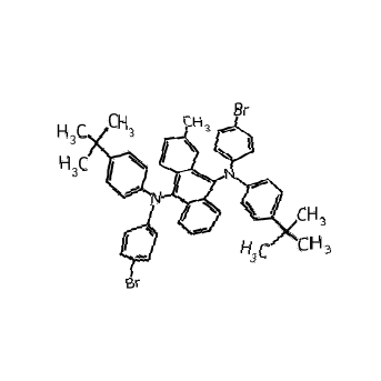 Cc1ccc2c(N(c3ccc(Br)cc3)c3ccc(C(C)(C)C)cc3)c3ccccc3c(N(c3ccc(Br)cc3)c3ccc(C(C)(C)C)cc3)c2c1